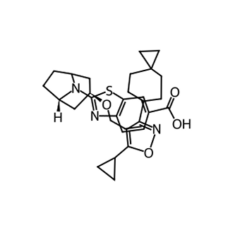 O=C(O)c1ccc2nc(N3C4CC[C@H]3C[C@H](OCc3c(C5CCC6(CC5)CC6)noc3C3CC3)C4)sc2c1